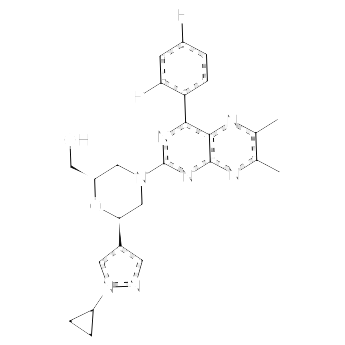 Cc1nc2nc(N3C[C@H](CO)O[C@H](c4cnn(C5CC5)c4)C3)nc(-c3ccc(F)cc3F)c2nc1C